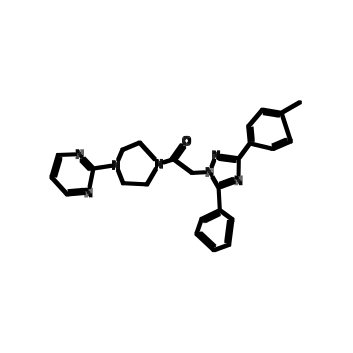 Cc1ccc(-c2nc(-c3ccccc3)n(CC(=O)N3CCN(c4ncccn4)CC3)n2)cc1